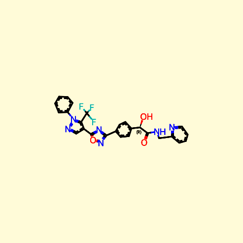 O=C(NCc1ccccn1)[C@H](O)c1ccc(-c2noc(-c3cnn(-c4ccccc4)c3C(F)(F)F)n2)cc1